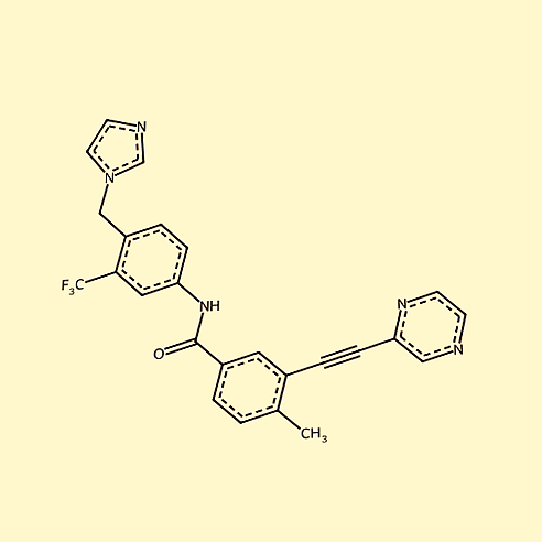 Cc1ccc(C(=O)Nc2ccc(Cn3ccnc3)c(C(F)(F)F)c2)cc1C#Cc1cnccn1